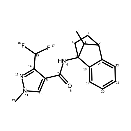 CC1C2CCC1(NC(=O)c1cn(C)nc1C(F)F)c1ccccc12